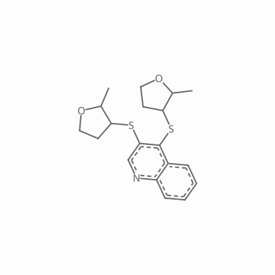 CC1OCCC1Sc1cnc2ccccc2c1SC1CCOC1C